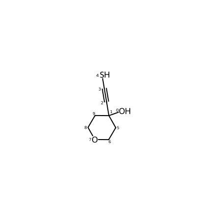 OC1(C#CS)CCOCC1